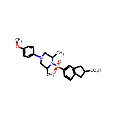 CC1CN(c2ccc(OC(F)(F)F)cc2)CC(C)N1S(=O)(=O)c1ccc2c(c1)CC(C(=O)O)C2